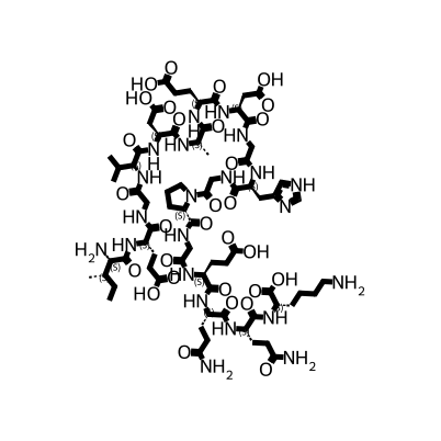 CC[C@H](C)[C@H](N)C(=O)N[C@@H](CCC(=O)O)C(=O)NCC(=O)N[C@H](C(=O)N[C@@H](CC(=O)O)C(=O)N[C@@H](C)C(=O)N[C@@H](CCC(=O)O)C(=O)N[C@@H](CC(=O)O)C(=O)NCC(=O)N[C@@H](Cc1c[nH]cn1)C(=O)NCC(=O)N1CCC[C@H]1C(=O)NCC(=O)N[C@@H](CCC(=O)O)C(=O)N[C@@H](CCC(N)=O)C(=O)N[C@@H](CCC(N)=O)C(=O)N[C@@H](CCCCN)C(=O)O)C(C)C